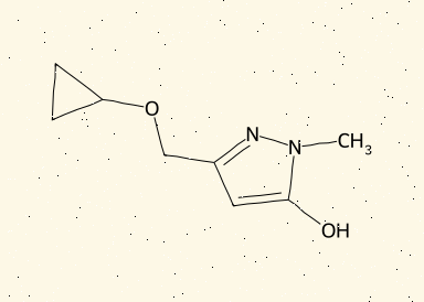 Cn1nc(COC2CC2)cc1O